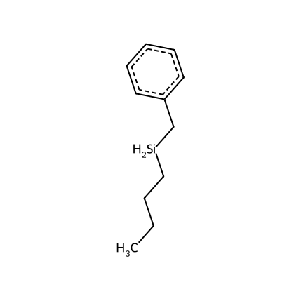 CCCC[SiH2]Cc1ccccc1